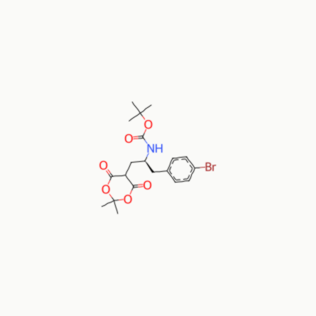 CC(C)(C)OC(=O)N[C@@H](Cc1ccc(Br)cc1)CC1C(=O)OC(C)(C)OC1=O